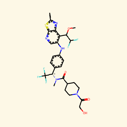 COC(c1c(Nc2ccc([C@H](N(C)C(=O)C3CCN(C(=O)CO)CC3)C(F)(F)F)cc2)cnc2sc(C)nc12)C(F)F